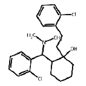 CN(C)C(c1ccccc1Cl)C1CCCCC1(O)CCc1ccccc1Cl